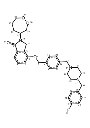 O=C1c2cccc(OCc3ccc(CN4CCN(Cc5ccc(F)cc5)CC4)cc3)c2CN1C1CCCOOC1